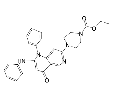 CCOC(=O)N1CCN(c2cc3c(cn2)c(=O)cc(Nc2ccccc2)n3-c2ccccc2)CC1